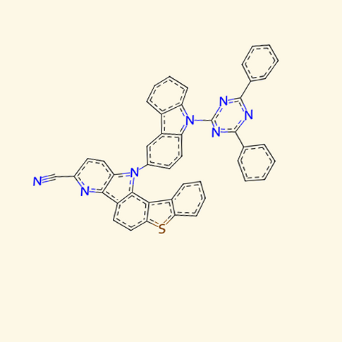 N#Cc1ccc2c(n1)c1ccc3sc4ccccc4c3c1n2-c1ccc2c(c1)c1ccccc1n2-c1nc(-c2ccccc2)nc(-c2ccccc2)n1